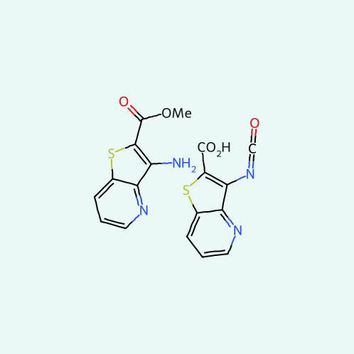 COC(=O)c1sc2cccnc2c1N.O=C=Nc1c(C(=O)O)sc2cccnc12